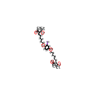 CCC(=O)C(CCCCCCOc1ccc(OCCCCCCC(C(=O)CC)C(=O)CC)c(I)c1)C(=O)CC